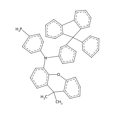 CC1(C)c2ccccc2Oc2c(N(c3ccc(P)cc3)c3cccc(C4(c5ccccc5)c5ccccc5-c5ccccc54)c3)cccc21